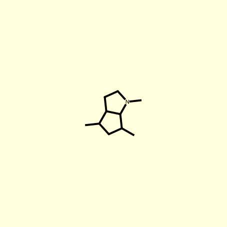 CC1CC(C)C2C1CCN2C